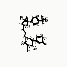 Cc1cc(-c2cn(CCCN3C[C@@H]4C[C@]4(c4ccc(C(F)(F)F)cc4)C3)c(=O)[nH]c2=O)ccn1